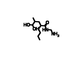 CCCCC(CC(C)C(O)O)C(=O)NCN